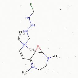 C=C[N+](C)(/C=C\C1=[N+](C)CCN(C)C2OC12)CNNNCF